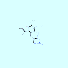 COc1cc(Cc2cnc(N)nc2N)c2c(C)c(C)oc2c1OC